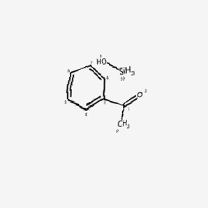 CC(=O)c1ccccc1.O[SiH3]